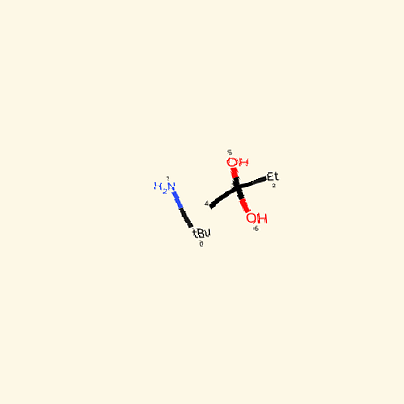 CC(C)(C)N.CCC(C)(O)O